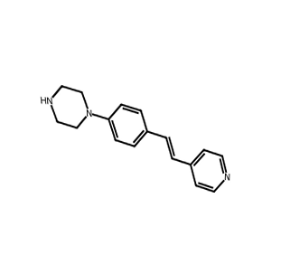 C(=C\c1ccc(N2CCNCC2)cc1)/c1ccncc1